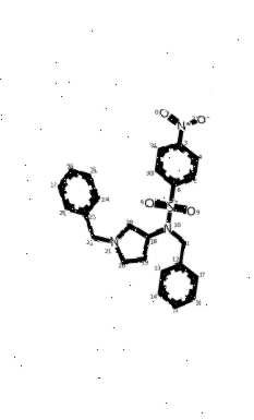 O=[N+]([O-])c1ccc(S(=O)(=O)N(Cc2ccccc2)C2CCN(Cc3ccccc3)C2)cc1